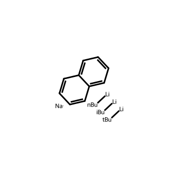 [Li][CH2]CCC.[Li][CH](C)CC.[Li][C](C)(C)C.[Na].c1ccc2ccccc2c1